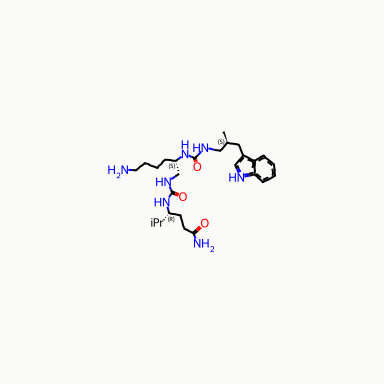 CC(C)[C@@H](CCC(N)=O)NC(=O)NC[C@H](CCCCN)NC(=O)NC[C@@H](C)Cc1c[nH]c2ccccc12